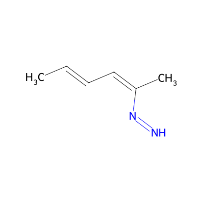 C/C=C/C=C(/C)N=N